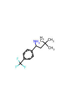 CC(C)(C)CC(N)c1ccc(C(F)(F)F)cc1